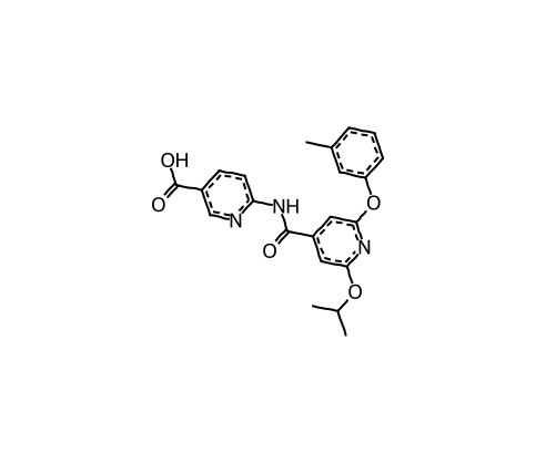 Cc1cccc(Oc2cc(C(=O)Nc3ccc(C(=O)O)cn3)cc(OC(C)C)n2)c1